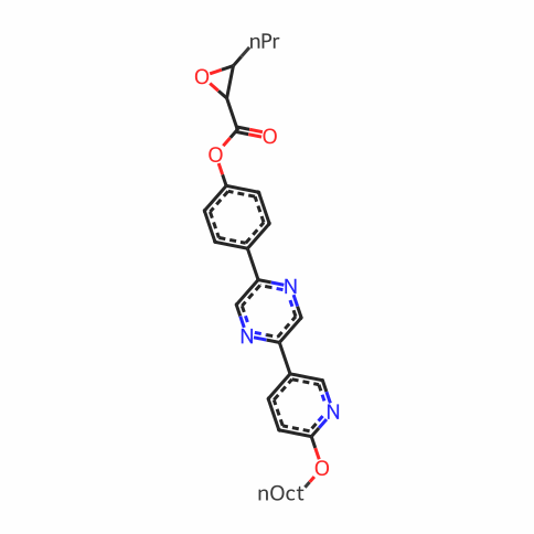 CCCCCCCCOc1ccc(-c2cnc(-c3ccc(OC(=O)C4OC4CCC)cc3)cn2)cn1